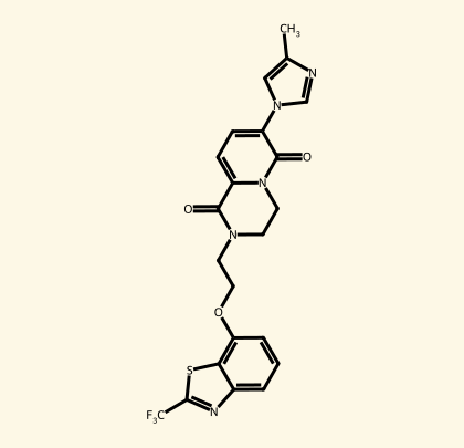 Cc1cn(-c2ccc3n(c2=O)CCN(CCOc2cccc4nc(C(F)(F)F)sc24)C3=O)cn1